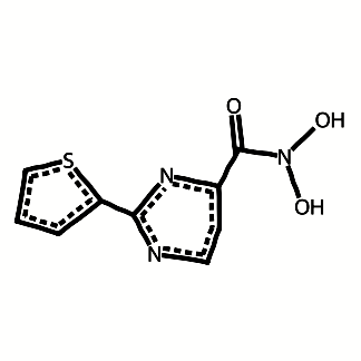 O=C(c1ccnc(-c2cccs2)n1)N(O)O